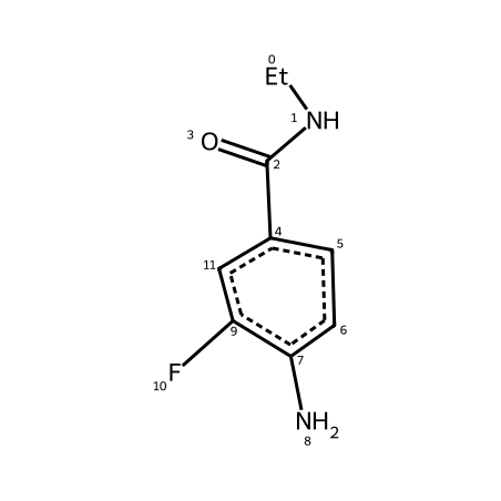 CCNC(=O)c1ccc(N)c(F)c1